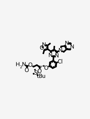 Cc1noc(C)c1-c1nc(-c2cc(OC[C@@H](CCOC(N)=O)O[Si](C)(C)C(C)(C)C)ccc2Cl)nc(N2Cc3cncnc3C2)c1C